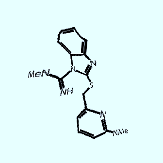 CNC(=N)n1c(SCc2cccc(NC)n2)nc2ccccc21